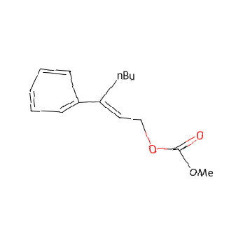 CCCC/C(=C\COC(=O)OC)c1ccccc1